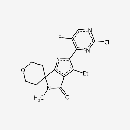 CCc1c(-c2nc(Cl)ncc2F)sc2c1C(=O)N(C)C21CCOCC1